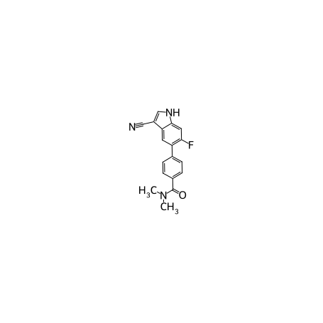 CN(C)C(=O)c1ccc(-c2cc3c(C#N)c[nH]c3cc2F)cc1